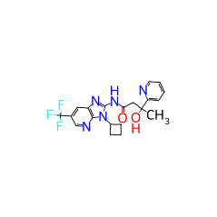 CC(O)(CC(=O)Nc1nc2cc(C(F)(F)F)cnc2n1C1CCC1)c1ccccn1